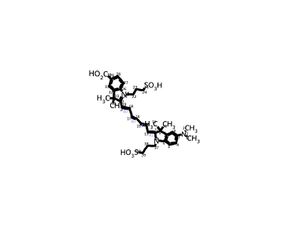 CN(C)c1ccc2c(c1)C(C)(C)\C(=C/C=C/C=C/C=C/C1=[N+](CCCS(=O)(=O)O)c3ccc(C(=O)O)cc3C1(C)C)N2CCCS(=O)(=O)O